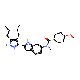 CCCc1[nH]nc(-c2cc3ccc(N(C)C(=O)[C@H]4CC[C@H](OC)CC4)cc3[nH]2)c1CCC